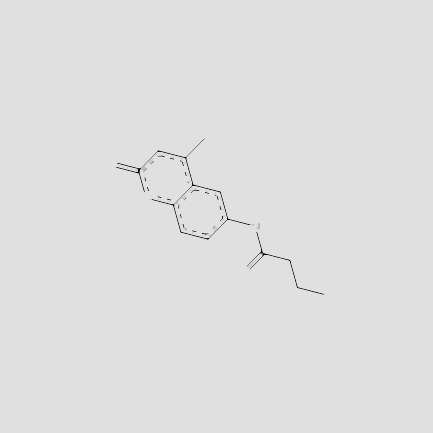 CCCC(=O)Nc1[c]cc2oc(=O)cc(C)c2c1